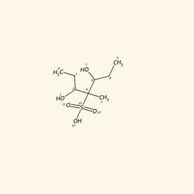 CCC(O)C(C)(C(O)CC)S(=O)(=O)O